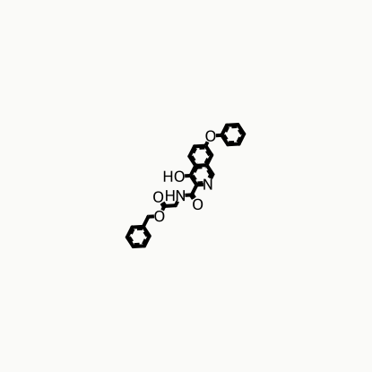 O=C(CNC(=O)c1ncc2cc(Oc3ccccc3)ccc2c1O)OCc1ccccc1